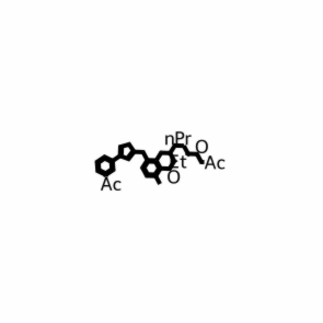 CCCC(CC1CC(=O)c2c(C)ccc(CC3=CC(c4cccc(C(C)=O)c4)=CC3)c2C1)C(CC)C(=O)CC(C)=O